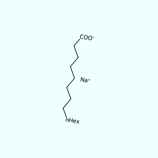 CCCCCCCCCCCCCC(=O)[O-].[Na+]